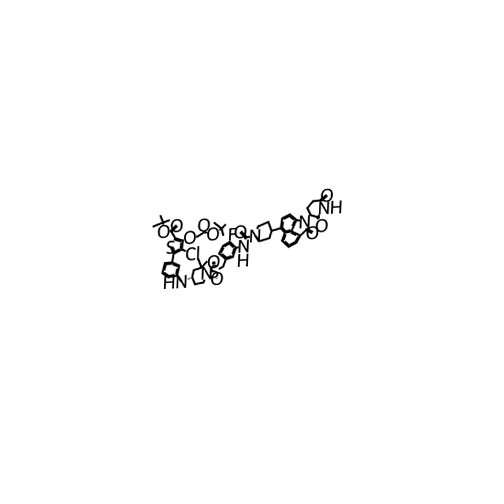 CC(C)(C)OC(=O)COc1c(C(=O)OC(C)(C)C)sc(-c2cccc(N[C@H]3CCN(S(=O)(=O)Cc4ccc(F)c(NC(=O)N5CCC(c6ccc7c8c(cccc68)C(=O)N7C6CCC(=O)NC6=O)CC5)c4)C(C)(C)C3)c2)c1Cl